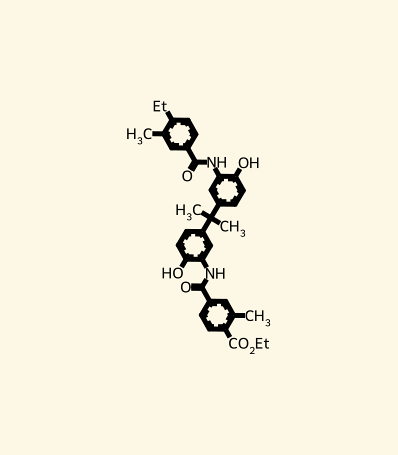 CCOC(=O)c1ccc(C(=O)Nc2cc(C(C)(C)c3ccc(O)c(NC(=O)c4ccc(CC)c(C)c4)c3)ccc2O)cc1C